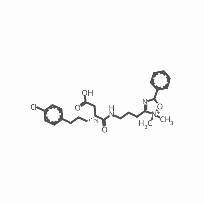 C[N+]1(C)OC(c2ccccc2)N=C1CCCNC(=O)[C@H](CCCc1ccc(Cl)cc1)CC(=O)O